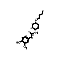 CCCCO[C@H]1CC[C@H](NC(=O)Cc2ccc(O)c(OC)c2)CC1